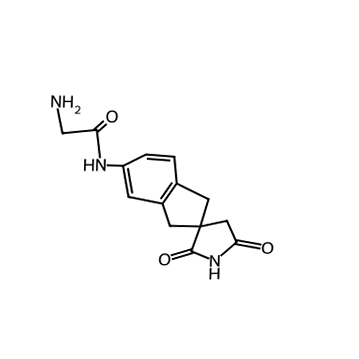 NCC(=O)Nc1ccc2c(c1)CC1(CC(=O)NC1=O)C2